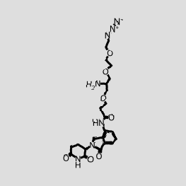 [N-]=[N+]=NCCOCCOCC(N)COCCC(=O)Nc1cccc2c1CN(C1CCC(=O)NC1=O)C2=O